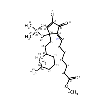 COC(=O)CCCCC/C=C1/C(=O)C(Cl)=CC1(CCC(C)CCCC(C)C)O[Si](C)(C)C